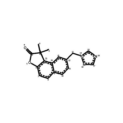 CC1(C)C(=O)Oc2ccc3ccc(Cn4cncn4)cc3c21